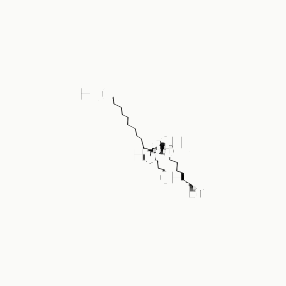 CCCCCCCCCCCC(OCCCC)O[Si](C)(C)OCCCCCCBr